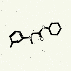 Cc1cccc(N(C)CC(=O)OC2CCCCC2)c1